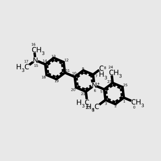 Cc1cc(C)c(-[n+]2c(C)cc(-c3ccc(N(C)C)cc3)cc2C)c(C)c1